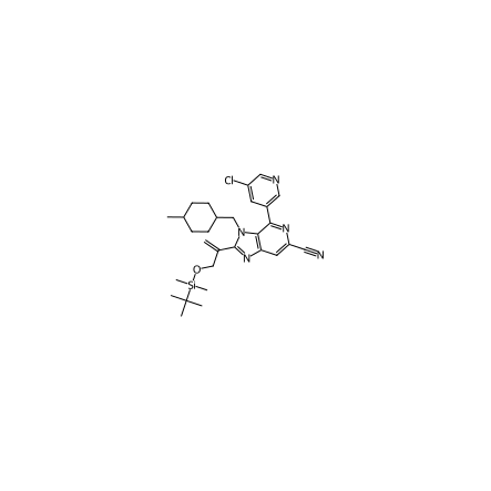 C=C(CO[Si](C)(C)C(C)(C)C)c1nc2cc(C#N)nc(-c3cncc(Cl)c3)c2n1CC1CCC(C)CC1